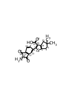 CC1(C)CCc2sc(-c3ccc4c(c3)C(=O)N(N)C4=O)c(C(=O)O)c2C1